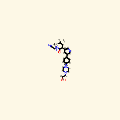 CC(C)CC(C(=O)NCC#N)c1cncc(-c2ccc(N3CCN(CCO)CC3)cc2)c1